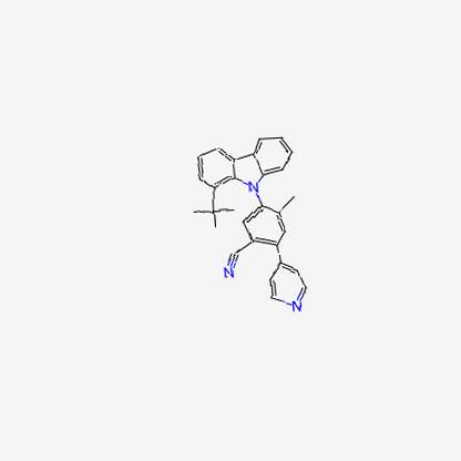 Cc1cc(-c2ccncc2)c(C#N)cc1-n1c2ccccc2c2cccc(C(C)(C)C)c21